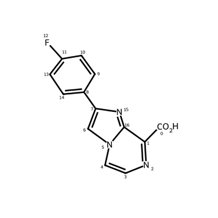 O=C(O)c1nccn2cc(-c3ccc(F)cc3)nc12